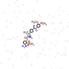 COc1ccc(C(=O)Nc2ccc(C(C)(C)CNC(=O)Cc3cccc(N)c3S(C)(=O)=O)cc2)cc1OC